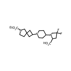 CCOC(=O)N1CCC2(CC(N3CCC(N4CC(F)(F)CC4C(=O)O)CC3)C2)C1